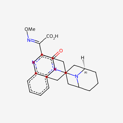 CON=C(C(=O)O)c1nc2ccccc2n(C2CC3CCC[C@H](C2)N3C2CC3CCCC(C3)C2)c1=O